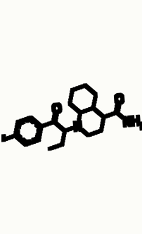 CCC(C(=O)c1ccc(F)cc1)N1CCC(C(N)=O)C2CCCCC21